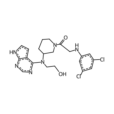 O=C(CNc1cc(Cl)cc(Cl)c1)N1CCCC(N(CCO)c2ncnc3[nH]ccc23)C1